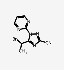 CC(Br)c1nc(C#N)nn1-c1ncccn1